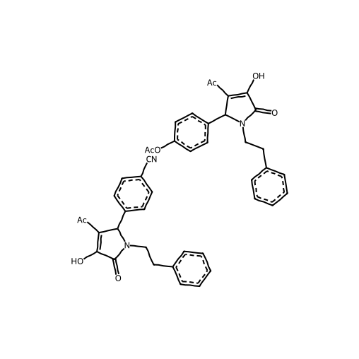 CC(=O)C1=C(O)C(=O)N(CCc2ccccc2)C1c1ccc(C#N)cc1.CC(=O)Oc1ccc(C2C(C(C)=O)=C(O)C(=O)N2CCc2ccccc2)cc1